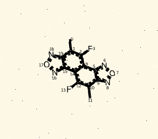 Cc1c(F)c2c3nonc3c(C)c(F)c2c2nonc12